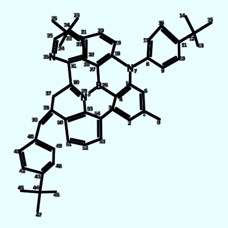 Cc1cc2c3c(c1)N(c1ccc(C(C)(C)C)cc1)c1ccc(C(C)(C)C)cc1B3[N+]1=C(c3ccccn3)C/C(=C/c3ccc(C(C)(C)C)cc3)c3cccc-2c31